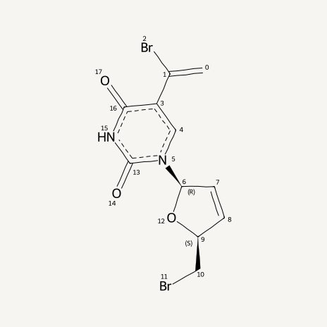 C=C(Br)c1cn([C@H]2C=C[C@@H](CBr)O2)c(=O)[nH]c1=O